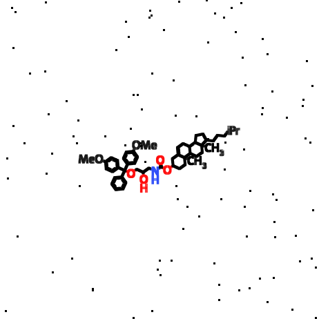 COc1ccc(C(OCC(O)CNC(=O)O[C@@H]2CC[C@]3(C)C(=CCC4C5CCC(CCCC(C)C)[C@]5(C)CCC43)C2)(c2ccccc2)c2ccc(OC)cc2)cc1